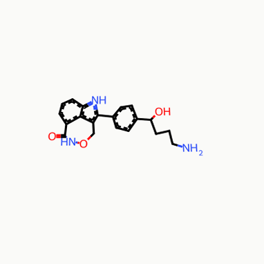 NCCCC(O)c1ccc(-c2[nH]c3cccc4c3c2CONC4=O)cc1